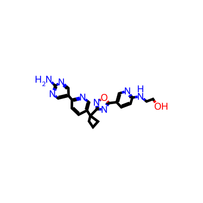 Nc1ncc(-c2ccc(C3(c4noc(-c5ccc(NCCO)nc5)n4)CCC3)cn2)cn1